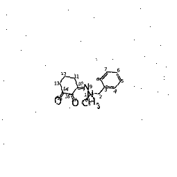 CN(Cc1ccccc1)N=C1CCCC(=O)C1=O